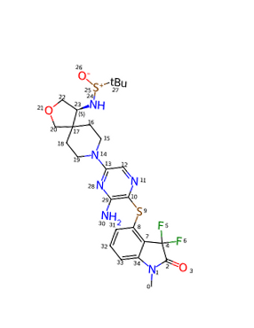 CN1C(=O)C(F)(F)c2c(Sc3ncc(N4CCC5(CC4)COC[C@H]5N[S+]([O-])C(C)(C)C)nc3N)cccc21